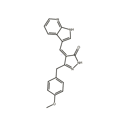 COc1ccc(CC2=NNC(=O)/C2=C\c2c[nH]c3ncccc23)cc1